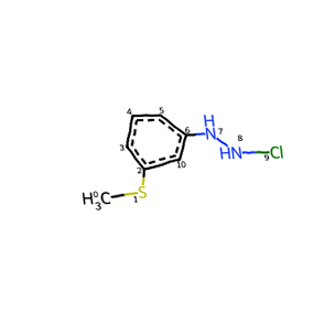 CSc1cccc(NNCl)c1